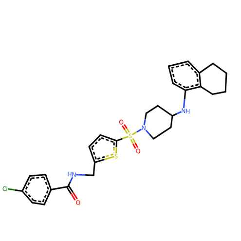 O=C(NCc1ccc(S(=O)(=O)N2CCC(Nc3cccc4c3CCCC4)CC2)s1)c1ccc(Cl)cc1